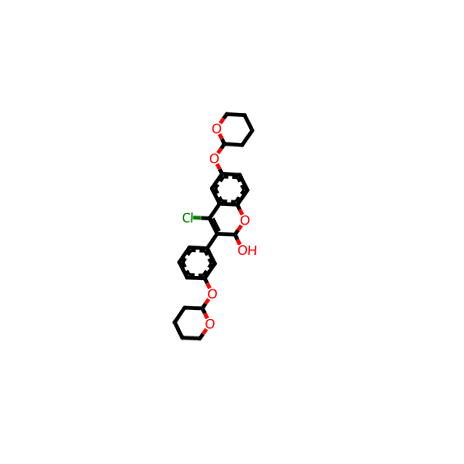 OC1Oc2ccc(OC3CCCCO3)cc2C(Cl)=C1c1cccc(OC2CCCCO2)c1